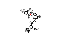 CC[C@@H](CC(=O)OCOC(=O)c1ccc(OP(=O)(O)O)c(OC)c1)c1ccc(N(CC(C)C)CC(C)C)c(NC(=O)Nc2ccc(C)cc2)c1